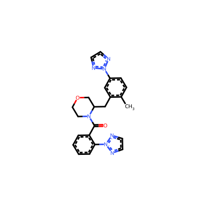 Cc1ccc(-n2nccn2)cc1CC1COCCN1C(=O)c1ccccc1-n1nccn1